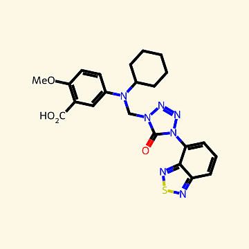 COc1ccc(N(Cn2nnn(-c3cccc4nsnc34)c2=O)C2CCCCC2)cc1C(=O)O